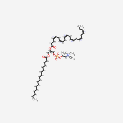 CC/C=C\C/C=C\C/C=C\C/C=C\C/C=C\C/C=C\CCC(=O)O[C@H](COC(=O)CCCCCCCCCCCCCCCCC)COP(=O)([O-])OCC[N+](C)(C)C